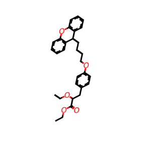 CCOC(=O)C(Cc1ccc(OCCCCC2c3ccccc3Oc3ccccc32)cc1)OCC